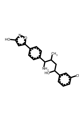 CC(CC(O)c1cccc(Cl)c1)C(N)c1ccc(-c2cc(O)no2)cc1